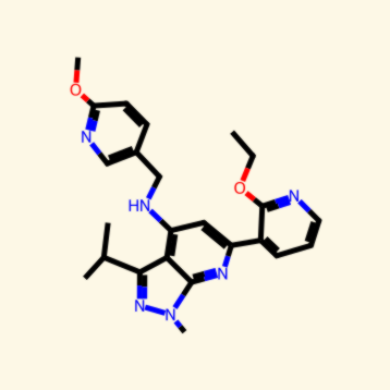 CCOc1ncccc1-c1cc(NCc2ccc(OC)nc2)c2c(C(C)C)nn(C)c2n1